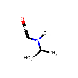 CC(C(=O)O)N(C)C=C=O